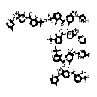 CC1Cc2c(nnn2-c2cc[nH]n2)CN1C(=O)c1cccc(C(F)(F)F)c1F.Cc1c(C(=O)N2CCc3c(nnn3-c3ncccn3)[C@@H]2C)cccc1C(F)(F)F.Cc1c(C(=O)N2Cc3nnn(-c4ncc(F)cn4)c3C[C@H]2C)ccnc1C(F)(F)F.Cc1ccnc(-n2nnc3c2CCN(C(=O)c2cccc(C(F)(F)F)c2Cl)[C@@H]3C)c1.Cc1ccnc(-n2nnc3c2CCN(C(=O)c2cccc(C(F)(F)F)c2Cl)[C@H]3C)c1